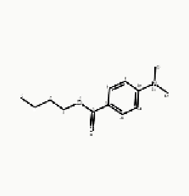 CCCCOC(=O)c1ccc(N(C)C)cc1